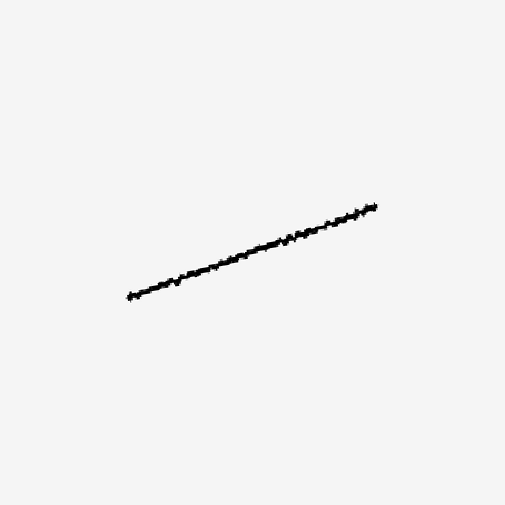 C=CCCCCCCCCCCCCCCCCCCCCCCCCCCCCCCCCCCCCCCCCCCCCCCCCCC